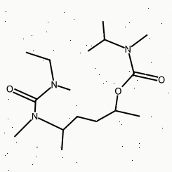 CCN(C)C(=O)N(C)C(C)CCC(C)OC(=O)N(C)C(C)C